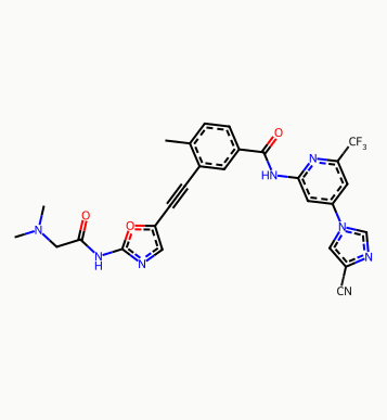 Cc1ccc(C(=O)Nc2cc(-n3cnc(C#N)c3)cc(C(F)(F)F)n2)cc1C#Cc1cnc(NC(=O)CN(C)C)o1